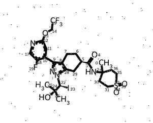 CC1(NC(=O)[C@@H]2CCc3c(-c4cc(OCC(F)(F)F)ncc4F)nn([C@@H](I)C(C)(C)O)c3C2)CCS(=O)(=O)CC1